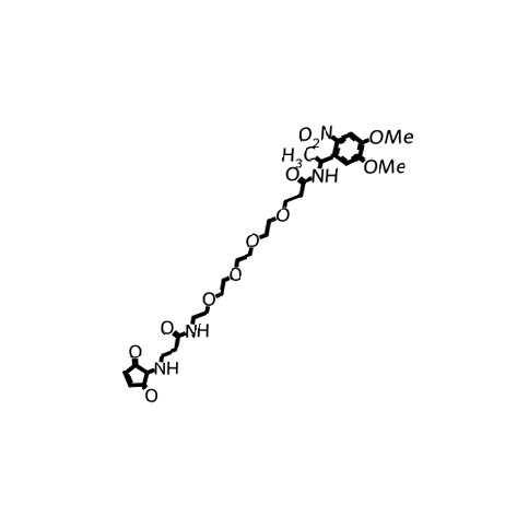 COc1cc(C(C)NC(=O)CCOCCOCCOCCOCCNC(=O)CCNC2C(=O)C=CC2=O)c([N+](=O)[O-])cc1OC